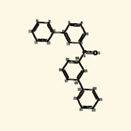 O=[P](c1cccc(-c2ccccc2)c1)c1cccc(-c2ccccc2)c1